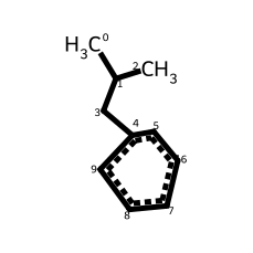 CC(C)Cc1c[c]ccc1